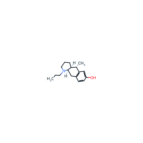 CCCN1CCC[C@H]2[C@H](C)c3cc(O)ccc3C[C@H]21